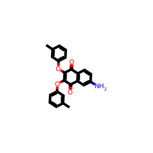 Cc1cccc(OC2=C(Oc3cccc(C)c3)C(=O)c3cc(N)ccc3C2=O)c1